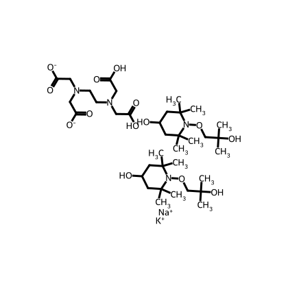 CC(C)(O)CON1C(C)(C)CC(O)CC1(C)C.CC(C)(O)CON1C(C)(C)CC(O)CC1(C)C.O=C([O-])CN(CCN(CC(=O)O)CC(=O)O)CC(=O)[O-].[K+].[Na+]